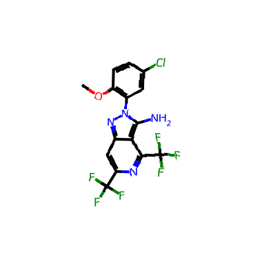 COc1ccc(Cl)cc1-n1nc2cc(C(F)(F)F)nc(C(F)(F)F)c2c1N